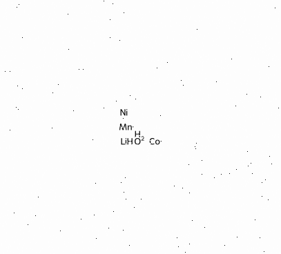 O.[Co].[LiH].[Mn].[Ni]